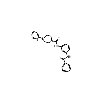 O=C(Nc1cccc(NC(=O)N2CCN(c3ccccn3)CC2)c1)c1ccccc1